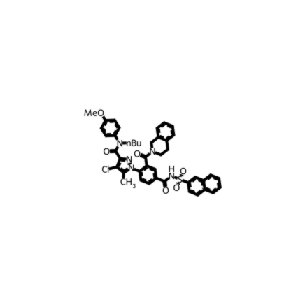 CCCCN(C(=O)c1nn(-c2ccc(C(=O)NS(=O)(=O)c3ccc4ccccc4c3)cc2C(=O)N2CCc3ccccc3C2)c(C)c1Cl)c1ccc(OC)cc1